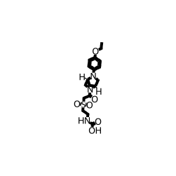 CCOc1ccc(N2C[C@@H]3C[C@H]2CN3C(=O)CS(=O)(=O)CCNC(=O)O)cc1